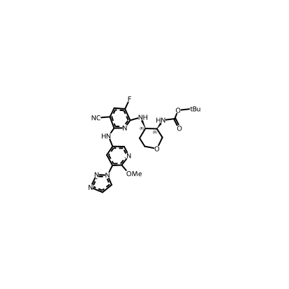 COc1ncc(Nc2nc(N[C@@H]3CCOC[C@@H]3NC(=O)OC(C)(C)C)c(F)cc2C#N)cc1-n1ccnn1